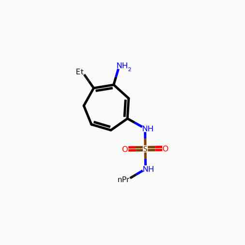 CCCNS(=O)(=O)NC1=CC(N)=C(CC)CC=C1